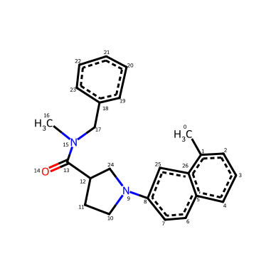 Cc1cccc2ccc(N3CCC(C(=O)N(C)Cc4ccccc4)C3)cc12